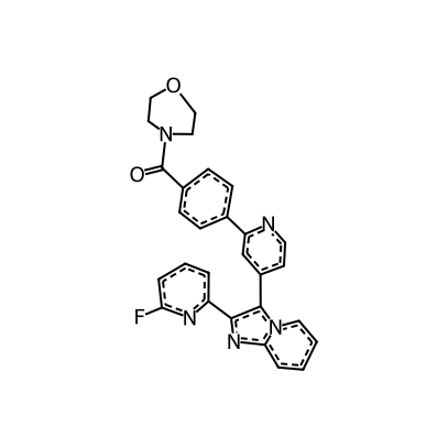 O=C(c1ccc(-c2cc(-c3c(-c4cccc(F)n4)nc4ccccn34)ccn2)cc1)N1CCOCC1